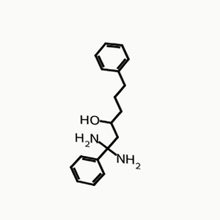 NC(N)(CC(O)CCCc1ccccc1)c1ccccc1